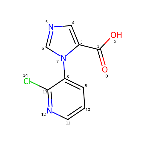 O=C(O)c1cncn1-c1cccnc1Cl